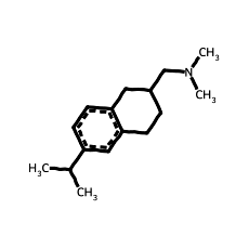 CC(C)c1ccc2c(c1)CCC(CN(C)C)C2